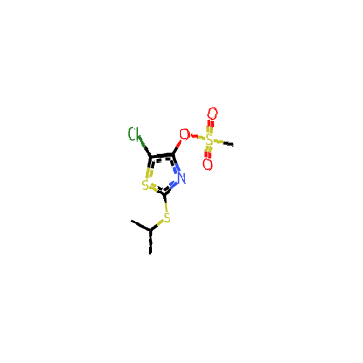 CC(C)Sc1nc(OS(C)(=O)=O)c(Cl)s1